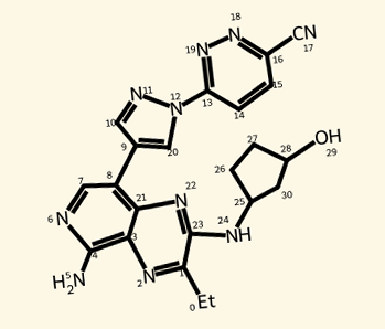 CCc1nc2c(N)ncc(-c3cnn(-c4ccc(C#N)nn4)c3)c2nc1NC1CCC(O)C1